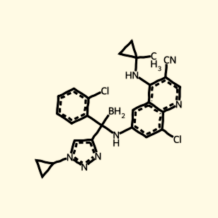 BC(Nc1cc(Cl)c2ncc(C#N)c(NC3(C)CC3)c2c1)(c1cn(C2CC2)nn1)c1ccccc1Cl